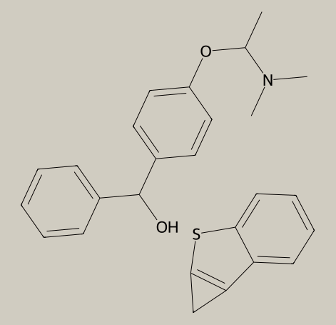 CC(Oc1ccc(C(O)c2ccccc2)cc1)N(C)C.c1ccc2c3c(sc2c1)C3